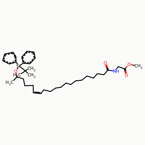 COC(=O)CNC(=O)CCCCCCCCCCCC/C=C\CCCC(C)O[Si](c1ccccc1)(c1ccccc1)C(C)(C)C